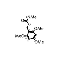 CNC(=O)SCc1c(OC)cc(OC)cc1OC